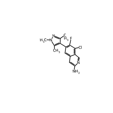 Cc1nn(C)c(C)c1-c1cc2cc(N)ncc2c(Cl)c1F